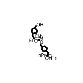 CCCC(C)(O)CC1CCC(COC(=O)OC(C)(CC)CC2CCC(CO)CC2)CC1